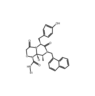 CCNC(=O)N1OCC(=O)N2[C@@H]1[C@H](C)N(Cc1cccc3ccccc13)C(=O)[C@@H]2Cc1ccc(O)cc1